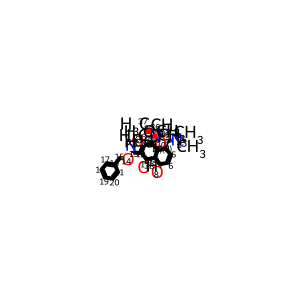 CN(C)C[C@H]1C=CC(=O)[C@H]2C(=O)c3c(OCc4ccccc4)noc3[C@H](N(C)C)[C@@]21O[Si](C)(C)C(C)(C)C